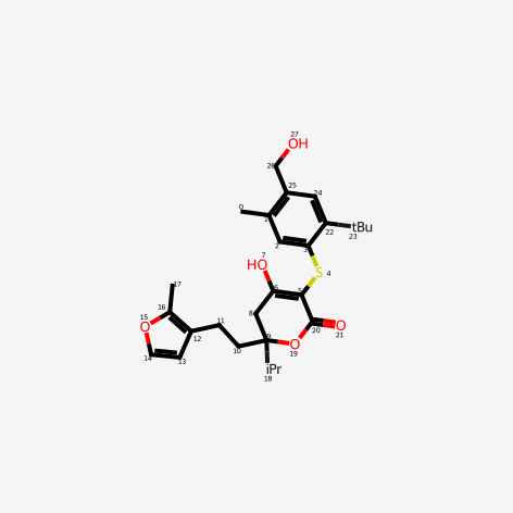 Cc1cc(SC2=C(O)CC(CCc3ccoc3C)(C(C)C)OC2=O)c(C(C)(C)C)cc1CO